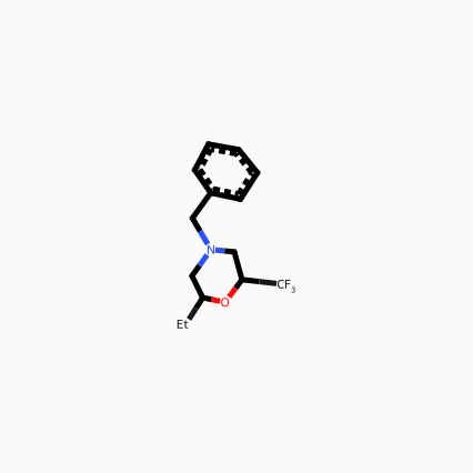 CCC1CN(Cc2ccccc2)CC(C(F)(F)F)O1